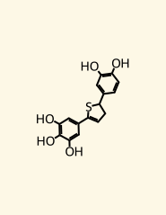 Oc1ccc(C2CC=C(c3cc(O)c(O)c(O)c3)S2)cc1O